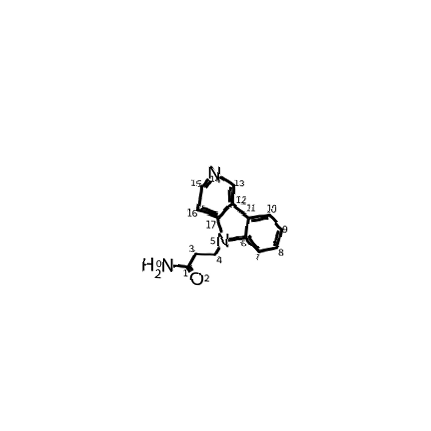 NC(=O)CCn1c2ccccc2c2cnccc21